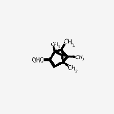 CC1=C(C)C2(C)CC1(C)CC2C=O